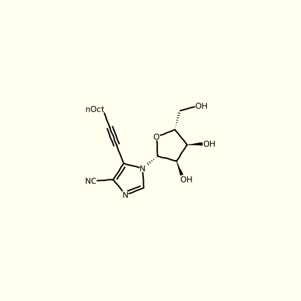 CCCCCCCCC#Cc1c(C#N)ncn1[C@@H]1O[C@H](CO)[C@@H](O)[C@H]1O